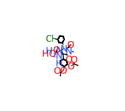 CC(=O)Oc1ccc(C2(NC(=O)O)C(=O)N(C)C(=O)N(c3cccc(Cl)c3)C2N)cc1OC(C)=O